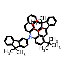 CC(C)(C)c1ccc(N(c2ccc3c(c2)-c2ccccc2C3(C)C)c2ccc3ccccc3c2-c2cccc3c2C(C)(C)c2ccccc2-3)c(-c2ccccc2)c1